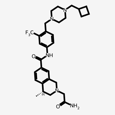 C[C@H]1CN(CC(N)=O)Cc2cc(C(=O)Nc3ccc(CN4CCN(CC5CCC5)CC4)c(C(F)(F)F)c3)ccc21